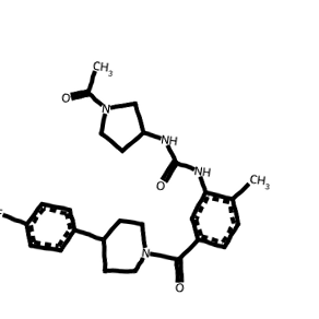 CC(=O)N1CCC(NC(=O)Nc2cc(C(=O)N3CCC(c4ccc(F)cc4)CC3)ccc2C)C1